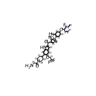 C=C/C(F)=C(\C=C/C)Oc1ccc(-n2ncc(C(=O)c3cc4cc(OCC(F)F)c(C5CCN(C(=O)CN)CC5)cc4[nH]3)c2N)c(C)c1